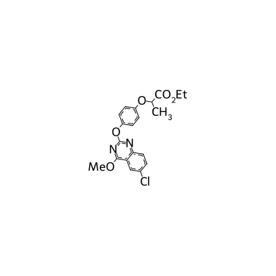 CCOC(=O)C(C)Oc1ccc(Oc2nc(OC)c3cc(Cl)ccc3n2)cc1